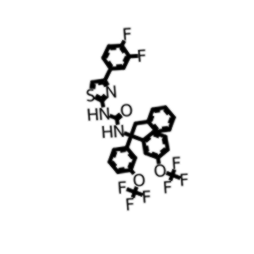 O=C(Nc1nc(-c2ccc(F)c(F)c2)cs1)NC(Cc1ccccc1)(c1cccc(OC(F)(F)F)c1)c1cccc(OC(F)(F)F)c1